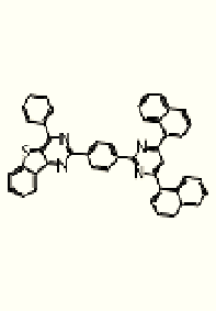 c1ccc(-c2nc(-c3ccc(-c4nc(-c5cccc6ccccc56)cc(-c5cccc6ccccc56)n4)cc3)nc3c2sc2ccccc23)cc1